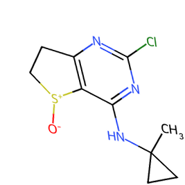 CC1(Nc2nc(Cl)nc3c2[S+]([O-])CC3)CC1